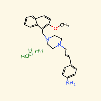 COc1ccc2ccccc2c1CN1CCN(C/C=C/c2ccc(N)cc2)CC1.Cl.Cl.Cl